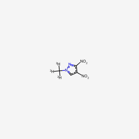 [2H]C([2H])([2H])n1cc([N+](=O)[O-])c([N+](=O)[O-])n1